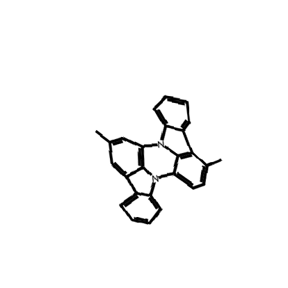 Cc1cc2c3ccccc3n3c4ccc(C)c5c6ccccc6n(c(c1)c23)c54